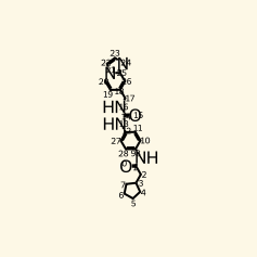 O=C(CC1CCCC1)Nc1ccc(NC(=O)NCc2ccn3ccnc3c2)cc1